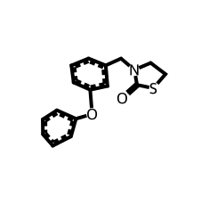 O=C1SCCN1Cc1cccc(Oc2ccccc2)c1